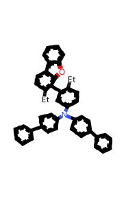 CCc1ccc(N(c2ccc(-c3ccccc3)cc2)c2ccc(-c3ccccc3)cc2)cc1-c1c(CC)ccc2c1oc1ccccc12